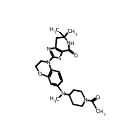 CC(=O)N1CCC(N(C)c2ccc3c(c2)OCCN3c2nc3c(s2)C(=O)NC(C)(C)C3)CC1